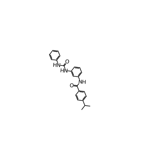 CC(C)c1ccc(C(=O)Nc2cccc(NC(=O)Nc3ccccc3)c2)cc1